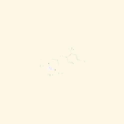 CC1(C)CC(Oc2ccc(Br)cc2C#N)CC(C)(C)N1